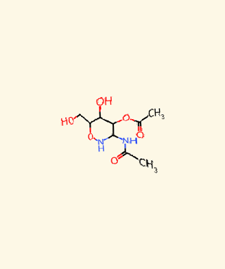 CC(=O)NC1NOC(CO)C(O)C1OC(C)=O